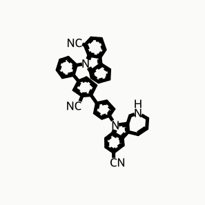 N#Cc1ccc2c(c1)c1c(n2-c2ccc(-c3ccc(-c4ccccc4-n4c5ccccc5c5cccc(C#N)c54)cc3C#N)cc2)CNCC=C1